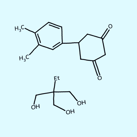 CCC(CO)(CO)CO.Cc1ccc(C2CC(=O)CC(=O)C2)cc1C